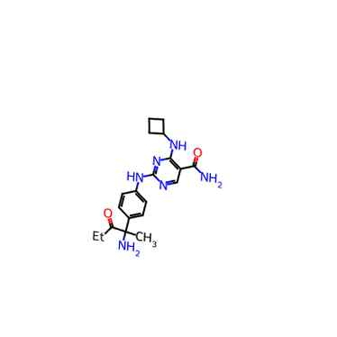 CCC(=O)C(C)(N)c1ccc(Nc2ncc(C(N)=O)c(NC3CCC3)n2)cc1